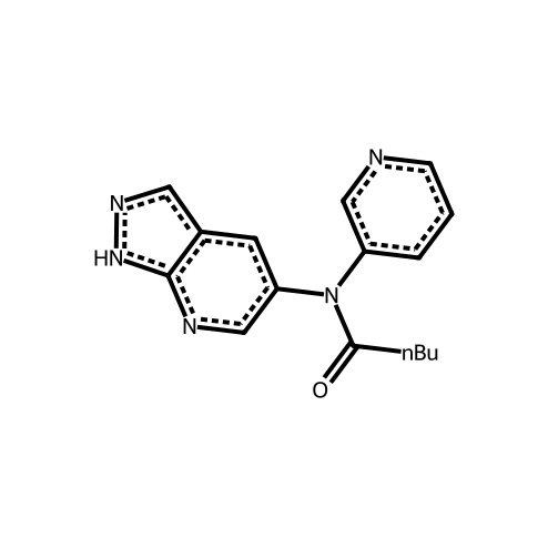 CCCCC(=O)N(c1cccnc1)c1cnc2[nH]ncc2c1